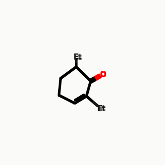 CCC1=CCCC(CC)C1=O